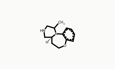 CC1CNC[C@@H]2CCOc3ccccc3N12